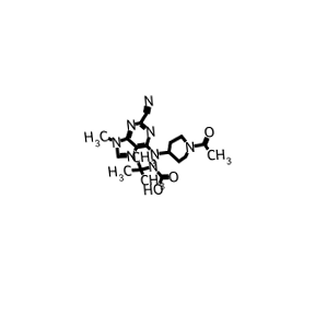 CC(=O)N1CCC(N(c2nc(C#N)nc3c2ncn3C)N(C(=O)O)C(C)(C)C)CC1